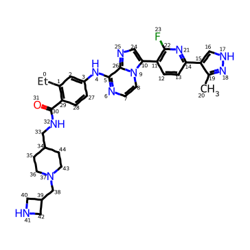 CCc1cc(Nc2nccn3c(-c4ccc(-c5c[nH]nc5C)nc4F)cnc23)ccc1C(=O)NCC1CCN(CC2CNC2)CC1